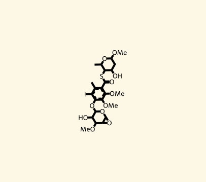 COc1c(OC2OC3OC3C(OC)C2O)c(I)c(C)c(C(=O)SC2C(O)CC(OC)OC2C)c1OC